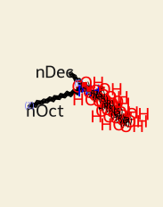 CCCCCCCC/C=C\CCCCCCCCCCCCCCCC(=O)N[C@@H](CO[C@@H]1OC(CO)[C@@H](O[C@@H]2OC(CO)[C@H](O[C@@H]3OC(CO)[C@H](O)[C@H](O[C@H]4OC(CO)[C@H](O)[C@H](O)C4O)C3O)[C@H](O)C2O)[C@H](O)C1O)[C@H](O)/C=C/CCCCCCCCCCCCC